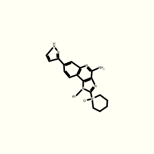 CC(C)n1c([N+]2([O-])CCCCC2)nc2c(N)nc3cc(-c4cc[nH]n4)ccc3c21